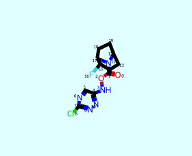 O=C(ONc1cnc(Cl)nn1)N1C2CCC(F)C1CC2